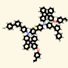 C=Cc1ccc(OC2C=CC(C3(C4=CCCC=C4)C4=C(CCC(N(C5=CC6SC7C=C(N(C8=CCC(C9=CC(C%10C=CC(F)=CC%10)CC=C9)CC8)c8ccc9c(c8)C(C8=CCC(OC%10=CCC(C=C)C=C%10)C=C8)(C8=CC=CCC8)c8ccccc8-9)C=CC7C6C=C5)C5=CC=C(c6cccc(C7=CCC(F)C=C7)c6)CC5)C4)C4CCC=CC43)=CC2)cc1